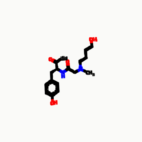 CN(CCCCO)CC(=O)N[C@@H](Cc1ccc(O)cc1)C(=O)C(C)(C)C